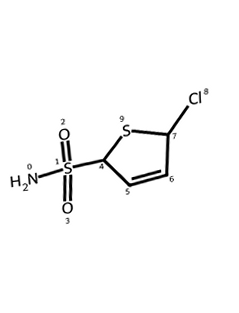 NS(=O)(=O)C1C=CC(Cl)S1